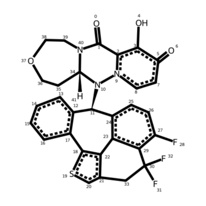 O=C1c2c(O)c(=O)ccn2N([C@@H]2c3ccccc3-c3scc4c3-c3c2ccc(F)c3C(F)(F)C4)[C@@H]2CCOCCN12